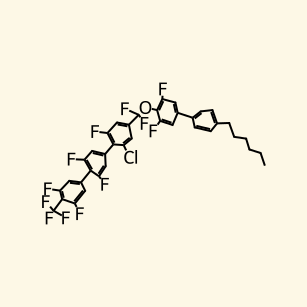 CCCCCCc1ccc(-c2cc(F)c(OC(F)(F)c3cc(F)c(-c4cc(F)c(-c5cc(F)c(C(F)(F)F)c(F)c5)c(F)c4)c(Cl)c3)c(F)c2)cc1